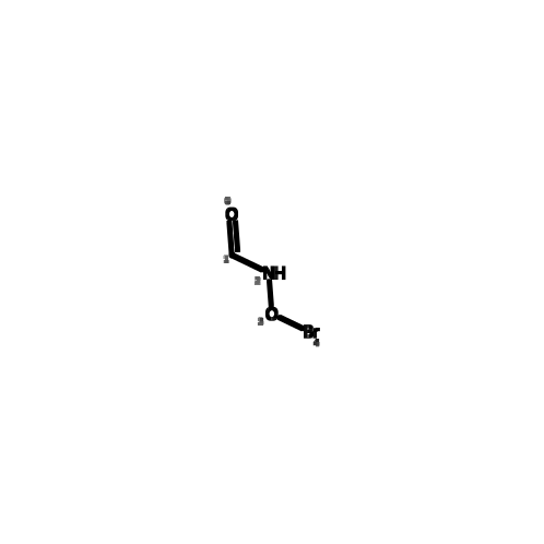 O=CNOBr